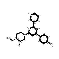 OC[C@H]1CCN(c2cc(-c3ccc(Cl)cc3)nc(-c3cccnc3)n2)C[C@H]1F